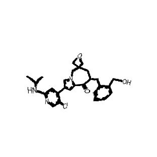 CC(C)Nc1cc(-c2cc3n(c2)CC2(COC2)CC(Cc2ccccc2CO)C3=O)c(Cl)cn1